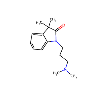 CN(C)CCCN1C(=O)C(C)(C)c2ccccc21